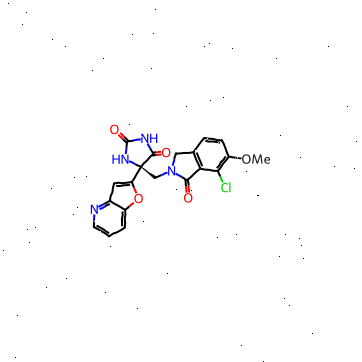 COc1ccc2c(c1Cl)C(=O)N(C[C@@]1(c3cc4ncccc4o3)NC(=O)NC1=O)C2